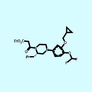 CCOC(=O)CC(=O)N1CCN(c2ccc(OC(F)F)c(OCC3CC3)c2)C[C@@H]1CC(C)C